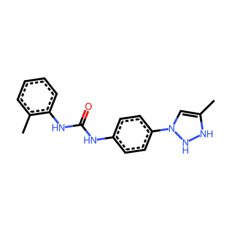 CC1=CN(c2ccc(NC(=O)Nc3ccccc3C)cc2)NN1